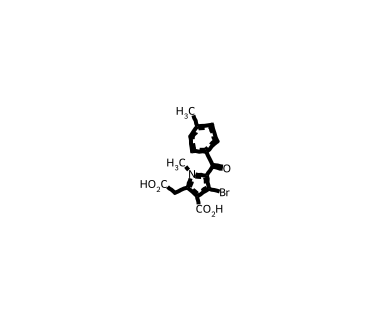 Cc1ccc(C(=O)c2c(Br)c(C(=O)O)c(CC(=O)O)n2C)cc1